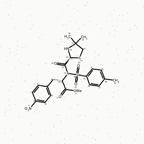 COC(=O)[C@H](Cc1ccc([N+](=O)[O-])cc1)N(C(=O)[C@H]1NC(C)(C)CS1)S(=O)(=O)c1ccc(C)cc1